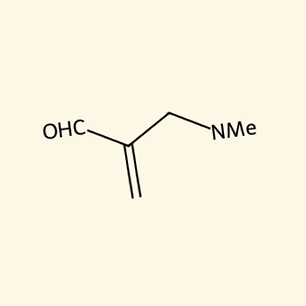 C=C(C=O)CNC